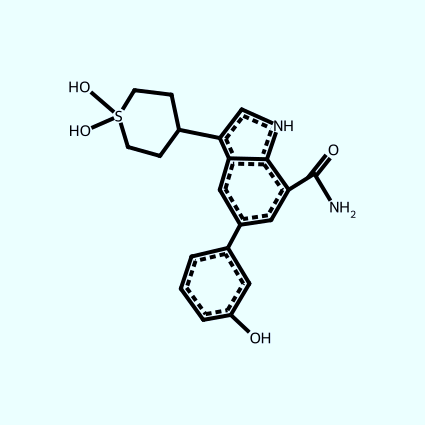 NC(=O)c1cc(-c2cccc(O)c2)cc2c(C3CCS(O)(O)CC3)c[nH]c12